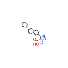 O=C(O)c1[nH]nnc1-c1ccc2cc(-c3ccccc3)ccc2c1